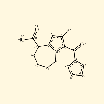 Cc1cc2n(c1C(=O)c1cccs1)CCCCC2C(=O)O